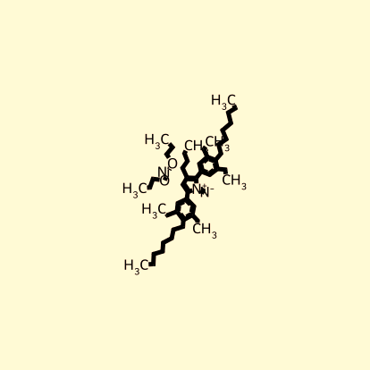 CCCCCCCCc1c(CC)cc(C2=CC(CCCC)=C(c3cc(CC)c(CCCCCCCC)c(CC)c3)[N+]2=[N-])cc1CC.CCC[O][Ni][O]CCC